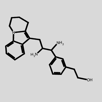 NC(Cc1c2n(c3ccccc13)CCCC2)C(N)c1cccc(CCO)c1